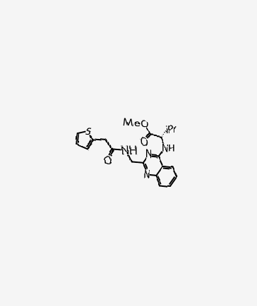 COC(=O)[C@@H](Nc1nc(CNC(=O)Cc2cccs2)nc2ccccc12)C(C)C